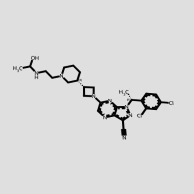 CC(O)NCCN1CCC[C@H](C2CN(c3cnc4c(C#N)nn([C@H](C)c5ccc(Cl)cc5Cl)c4n3)C2)C1